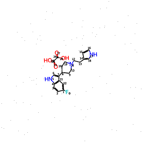 Fc1ccc2[nH]cc(C3CCN(CCc4cc[nH]c4)CC3)c2c1.O=C(O)C(=O)O